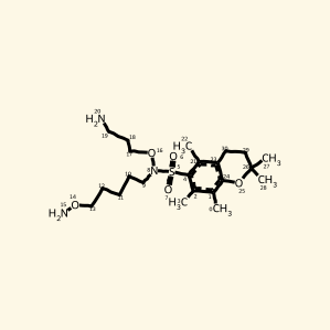 Cc1c(C)c(S(=O)(=O)N(CCCCCON)OCCCN)c(C)c2c1OC(C)(C)CC2